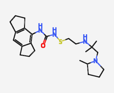 CC1CCCN1CC(C)(C)NCCSNC(=O)Nc1c2c(cc3c1CCC3)CCC2